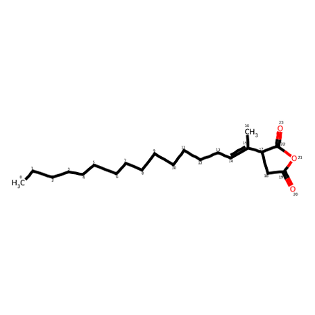 CCCCCCCCCCCCCCC=C(C)C1CC(=O)OC1=O